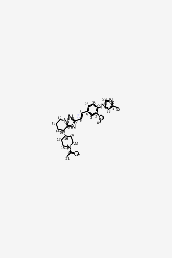 COc1cc(/C=C/c2nc3n(n2)CCC[C@H]3C2CCN(C(C)=O)CC2)ccc1-n1cnc(C)c1